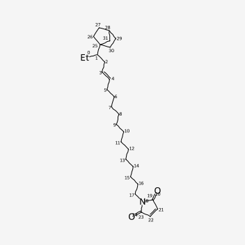 CCC(CC=CCCCCCCCCCCCCCN1C(=O)C=CC1=O)C12CCC(CC1)C2